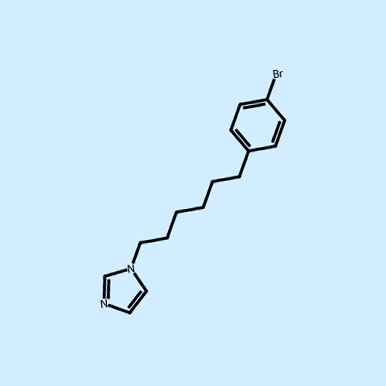 Brc1ccc(CCCCCCn2ccnc2)cc1